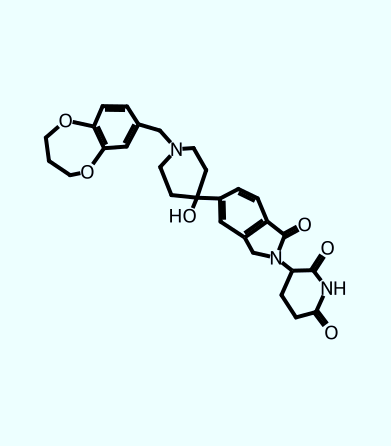 O=C1CCC(N2Cc3cc(C4(O)CCN(Cc5ccc6c(c5)OCCCO6)CC4)ccc3C2=O)C(=O)N1